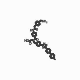 Cc1ccc(-c2ccc(-c3nc(-c4ccc(CN(CC(=O)O)C(=O)c5ccc(NC(=O)Cc6ccc(CN)cc6)cc5)cc4)no3)cc2)cc1